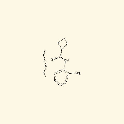 CCOC=O.Nc1ccccc1NC(=O)C1CCC1